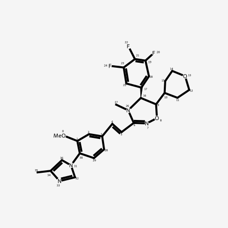 COc1cc(/C=C/C2=NOC(C3CCOCC3)[C@H](c3cc(F)c(F)c(F)c3)N2C)ccc1-n1cnc(C)c1